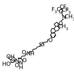 CN(CCOC1CCC2C3CCc4cc(OCCCSSCCCCCCNC(=O)CCc5cn(C6CC(O)C(CO)O6)c(=O)[nH]c5=O)ccc4C3CCC12C)CCOC(C(F)(F)F)(C(F)(F)F)C(F)(F)F